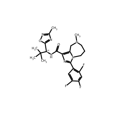 Cc1noc([C@@H](NC(=O)c2nc(-c3cc(F)c(F)cc3F)n3c2CN(C)CCC3)C(C)(C)C)n1